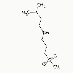 CC(C)CCNCCCS(=O)(=O)O